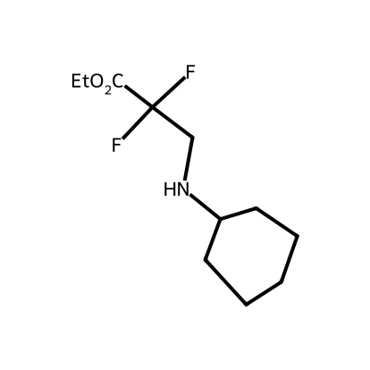 CCOC(=O)C(F)(F)CNC1CCCCC1